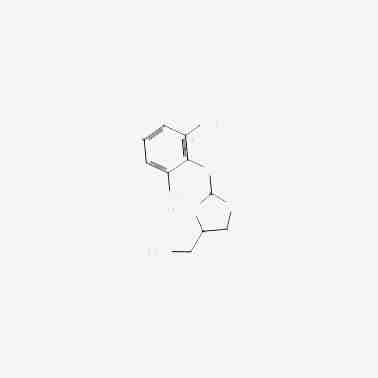 CCC1COC(Oc2c(C)cccc2C)O1